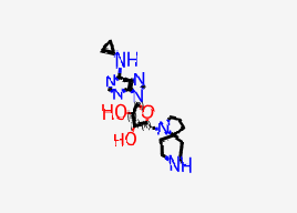 O[C@@H]1[C@H](O)[C@@H](CN2CCCC23CCNCC3)O[C@H]1n1cnc2c(NC3CC3)ncnc21